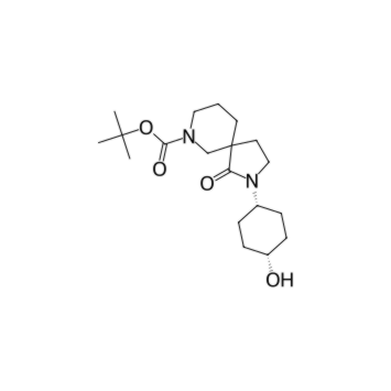 CC(C)(C)OC(=O)N1CCCC2(CCN([C@H]3CC[C@@H](O)CC3)C2=O)C1